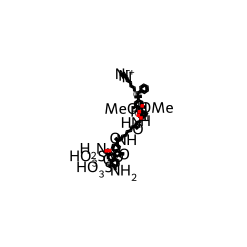 COc1cc(C(C)(C)[C@H](CCCCCN=[N+]=[N-])c2ccccc2)cc(OC)c1[C@H]1C=C(CNC(=O)CCCCCNC(=O)c2ccc3c(c2)C(=O)OC32c3ccc(N)c(S(=O)(=O)O)c3Oc3c2ccc(N)c3S(=O)(=O)O)[C@H]2C[C@@H]1C2(C)C